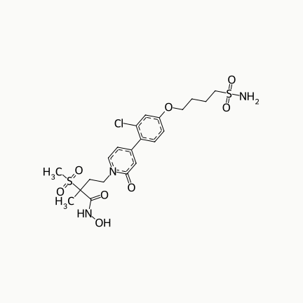 CC(CCn1ccc(-c2ccc(OCCCCS(N)(=O)=O)cc2Cl)cc1=O)(C(=O)NO)S(C)(=O)=O